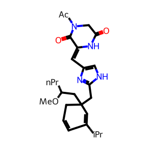 CCCC(CC1(Cc2nc(/C=C3\NC(=O)CN(C(C)=O)C3=O)c[nH]2)C=C(C(C)C)C=CC1)OC